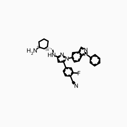 N#Cc1ccc(-c2cc(NC[C@H]3CCC[C@H](N)C3)nn2-c2ccc3c(cnn3-c3ccccc3)c2)cc1F